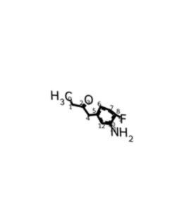 CCC(=O)Cc1ccc(F)c(N)c1